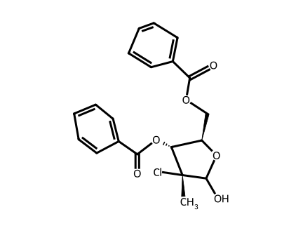 C[C@]1(Cl)C(O)O[C@H](COC(=O)c2ccccc2)[C@H]1OC(=O)c1ccccc1